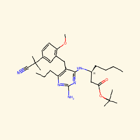 CCCC[C@@H](CC(=O)OC(C)(C)C)Nc1nc(N)nc(CCC)c1Cc1cc(C(C)(C)C#N)ccc1OC